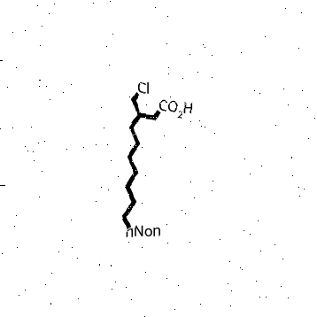 CCCCCCCCCCCCCCCCC(CCl)CC(=O)O